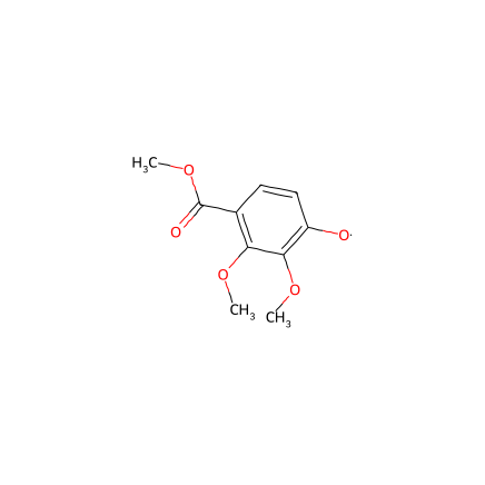 COC(=O)c1ccc([O])c(OC)c1OC